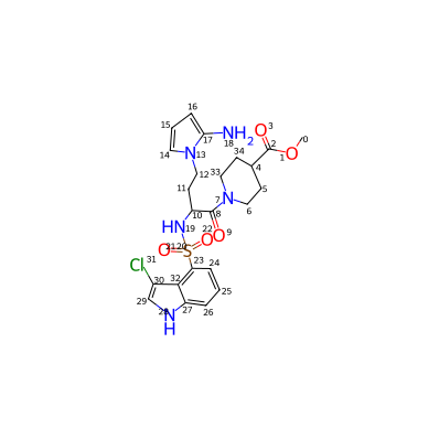 COC(=O)C1CCN(C(=O)C(CCn2cccc2N)NS(=O)(=O)c2cccc3[nH]cc(Cl)c23)CC1